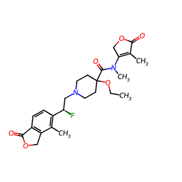 CCOC1(C(=O)N(C)C2=C(C)C(=O)OC2)CCN(C[C@@H](F)c2ccc3c(c2C)COC3=O)CC1